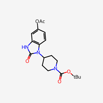 CC(=O)Oc1ccc2c(c1)[nH]c(=O)n2C1CCN(C(=O)OC(C)(C)C)CC1